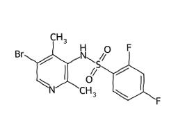 Cc1ncc(Br)c(C)c1NS(=O)(=O)c1ccc(F)cc1F